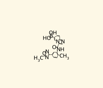 Cc1nc(-c2ccc(C)c(NC(=O)c3cnc4ccc(B(O)O)cn34)c2)no1